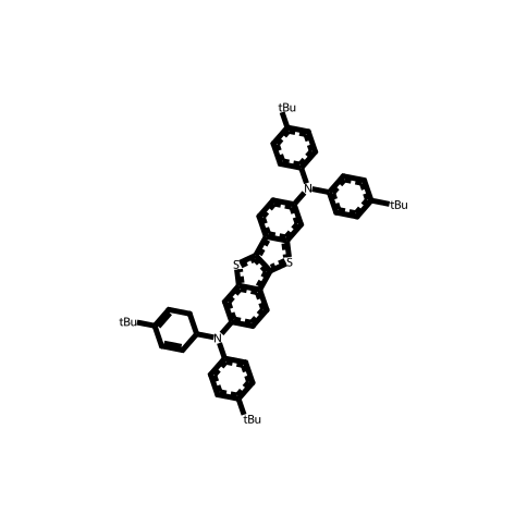 CC(C)(C)C1=CCC(N(c2ccc(C(C)(C)C)cc2)c2ccc3c(c2)sc2c4ccc(N(c5ccc(C(C)(C)C)cc5)c5ccc(C(C)(C)C)cc5)cc4sc32)C=C1